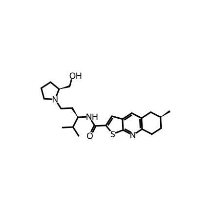 CC(C)[C@@H](CCN1CCC[C@H]1CO)NC(=O)c1cc2cc3c(nc2s1)CC[C@H](C)C3